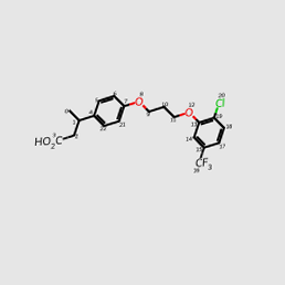 CC(CC(=O)O)c1ccc(OCCCOc2cc(C(F)(F)F)ccc2Cl)cc1